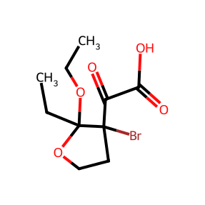 CCOC1(CC)OCCC1(Br)C(=O)C(=O)O